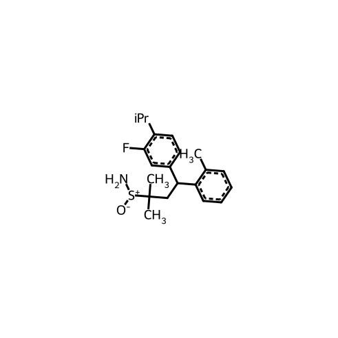 Cc1ccccc1C(CC(C)(C)[S+](N)[O-])c1ccc(C(C)C)c(F)c1